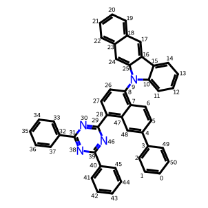 c1ccc(-c2ccc3c(-n4c5ccccc5c5cc6ccccc6cc54)ccc(-c4nc(-c5ccccc5)nc(-c5ccccc5)n4)c3c2)cc1